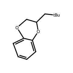 CC(C)(C)CC1COc2ccccc2O1